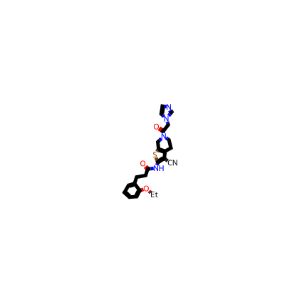 CCOc1ccccc1CCC(=O)Nc1sc2c(c1C#N)CCN(C(=O)Cn1ccnc1)C2